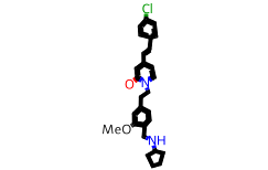 COc1cc(CCn2ccc(C=Cc3ccc(Cl)cc3)cc2=O)ccc1CNC1CCCC1